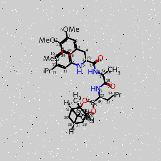 COc1cc(C[C@H](Nc2cccc(C(C)C)c2)C(=O)N[C@@H](C)C(=O)N[C@@H](CC(C)C)B2O[C@@H]3C[C@@H]4C[C@@H](C4(C)C)[C@]3(C)O2)cc(OC)c1OC